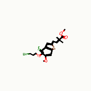 COC(=O)C(C)(C)CCc1cc2c(F)c(OCCCBr)c(OC)cc2s1